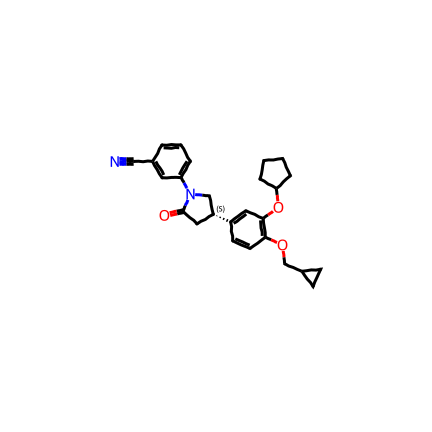 N#Cc1cccc(N2C[C@H](c3ccc(OCC4CC4)c(OC4CCCC4)c3)CC2=O)c1